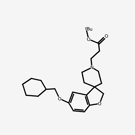 CC(C)(C)OC(=O)CCN1CCC2(CC1)COc1ccc(OCC3CCCCC3)cc12